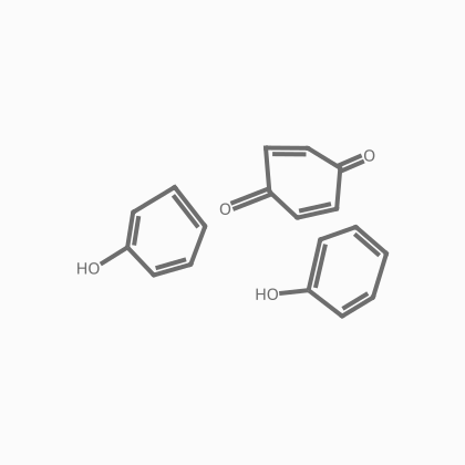 O=C1C=CC(=O)C=C1.Oc1ccccc1.Oc1ccccc1